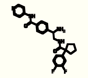 NC(CNC(=O)C1(c2ccc(F)c(F)c2)CCCC1)c1ccc(C(=O)Nc2ccncc2)cc1